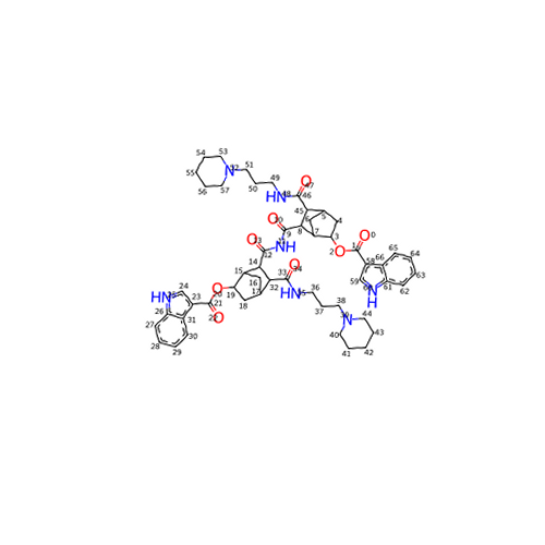 O=C(OC1CC2CC1C(C(=O)NC(=O)C1C3CC(CC3OC(=O)c3c[nH]c4ccccc34)C1C(=O)NCCCN1CCCCC1)C2C(=O)NCCCN1CCCCC1)c1c[nH]c2ccccc12